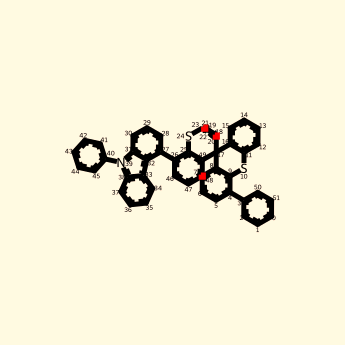 c1ccc(-c2cccc3c2Sc2ccccc2C32c3ccccc3Sc3c(-c4cccc5c4c4ccccc4n5-c4ccccc4)cccc32)cc1